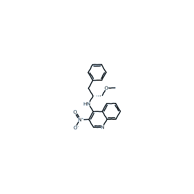 COC[C@@H](Cc1ccccc1)Nc1c([N+](=O)[O-])cnc2ccccc12